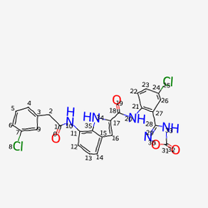 O=C(Cc1cccc(Cl)c1)Nc1cccc2cc(C(=O)Nc3ccc(Cl)cc3-c3noc(=O)[nH]3)[nH]c12